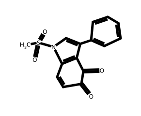 CS(=O)(=O)n1cc(-c2ccccc2)c2c1C=CC(=O)C2=O